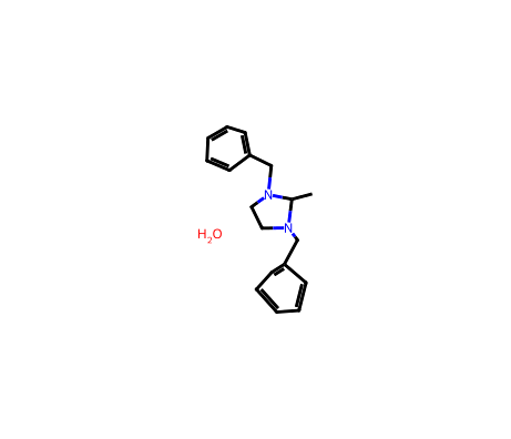 CC1N(Cc2ccccc2)CCN1Cc1ccccc1.O